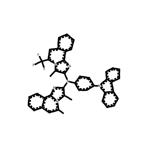 Cc1cc2ccccc2c2nc(N(c3ccc(-n4c5ccccc5c5ccccc54)cc3)c3nc4c5ccccc5cc(C(F)(F)F)n4c3C)c(C)n12